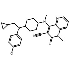 CN(c1c(C#N)c(=O)n(C)c2cccnc12)C1CCC(N(CC2CC2)c2ccc(Cl)cc2)CC1